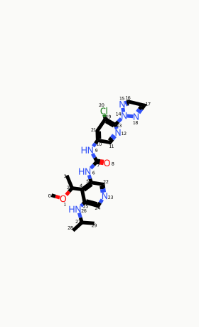 COC(C)c1c(NC(=O)Nc2cnc(-n3nccn3)c(Cl)c2)cncc1NC(C)C